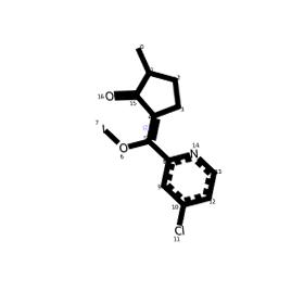 CC1CC/C(=C(/OI)c2cc(Cl)ccn2)C1=O